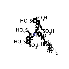 NS(=O)(=O)c1nnc(NC(=O)CCNC(=O)c2ccc(C(=CC=C3Sc4c(ccc5c(S(=O)(=O)O)cc(S(=O)(=O)O)cc45)N3CCCS(=O)(=O)O)/C=C/c3sc4c5cc(S(=O)(=O)O)cc(S(=O)(=O)O)c5ccc4[n+]3CCCS(=O)(=O)O)nc2)s1